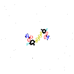 Cc1cc(F)c(OC(=O)N(C)C)cc1SSSSSSc1cc(OC(=O)N(C)C)c(F)cc1C